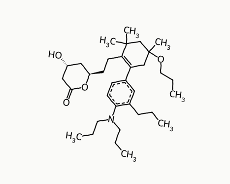 CCCOC1(C)CC(c2ccc(N(CCC)CCC)c(CCC)c2)=C(CC[C@@H]2C[C@@H](O)CC(=O)O2)C(C)(C)C1